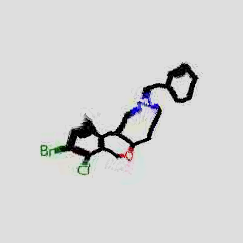 Clc1c(Br)ccc2c1COC1CCN(Cc3ccccc3)CC21